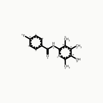 Cc1nc(NC(=O)c2ccc(F)cc2)c(C)c(C)c1O